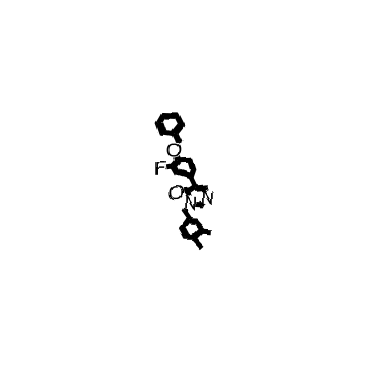 Cc1ccc(Cn2cncc(-c3ccc(OCc4ccccc4)c(F)c3)c2=O)cc1C